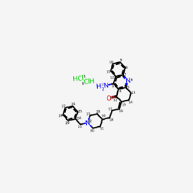 Cl.Cl.Nc1c2c(nc3ccccc13)CCC(=CCCC1CCN(Cc3ccccc3)CC1)C2=O